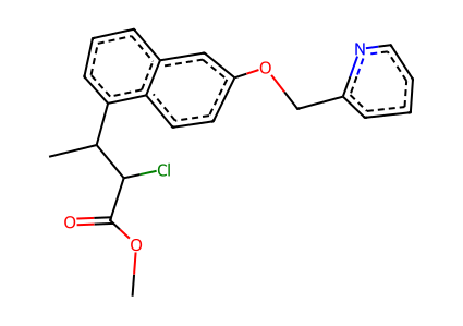 COC(=O)C(Cl)C(C)c1cccc2cc(OCc3ccccn3)ccc12